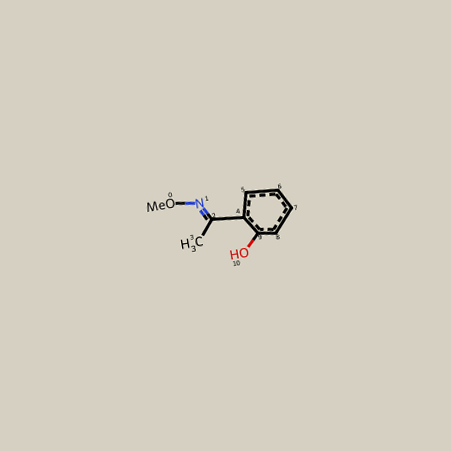 CO/N=C(\C)c1ccccc1O